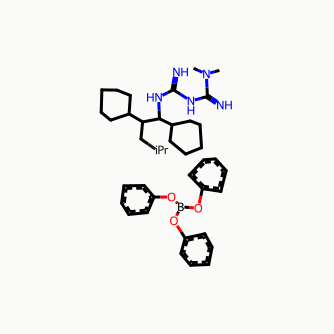 CC(C)CC(C1CCCCC1)C(NC(=N)NC(=N)N(C)C)C1CCCCC1.c1ccc(OB(Oc2ccccc2)Oc2ccccc2)cc1